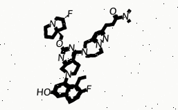 CCc1c(F)ccc2cc(O)cc(N3CCc4c(nc(OC[C@@]56CCCN5C[C@H](F)C6)nc4N4CCCn5nc(CCC(=O)N(C)C)cc5C4)C3)c12